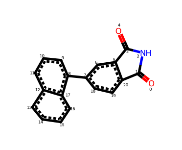 O=C1NC(=O)c2cc(-c3cccc4ccccc34)ccc21